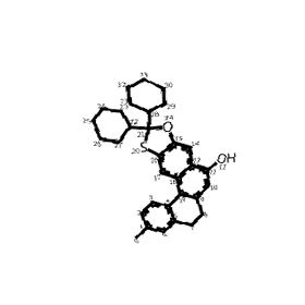 Cc1ccc2c(c1)CCc1cc(O)c3cc4c(cc3c1-2)SC(C1CCCCC1)(C1CCCCC1)O4